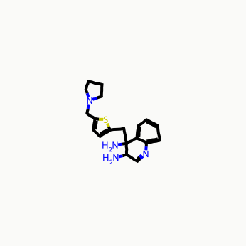 NC1C=Nc2ccccc2C1(N)Cc1ccc(CN2CCCC2)s1